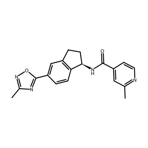 Cc1cc(C(=O)N[C@@H]2CCc3cc(-c4nc(C)no4)ccc32)ccn1